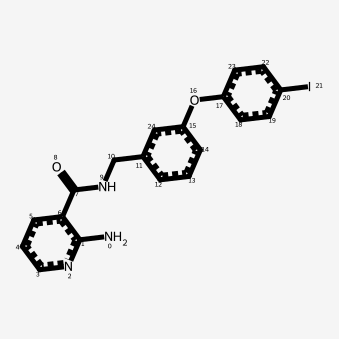 Nc1ncccc1C(=O)NCc1cccc(Oc2ccc(I)cc2)c1